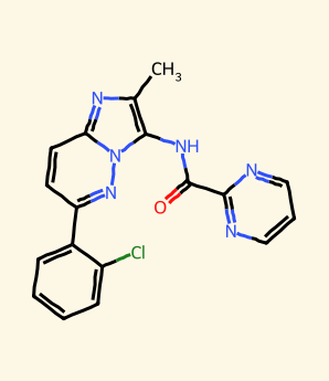 Cc1nc2ccc(-c3ccccc3Cl)nn2c1NC(=O)c1ncccn1